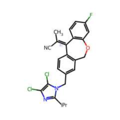 C/C(C#N)=C1/c2ccc(Cn3c(C(C)C)nc(Cl)c3Cl)cc2COc2cc(F)ccc21